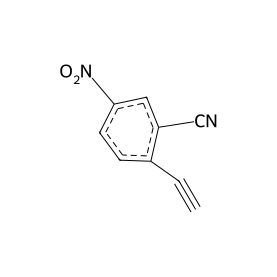 C#Cc1ccc([N+](=O)[O-])cc1C#N